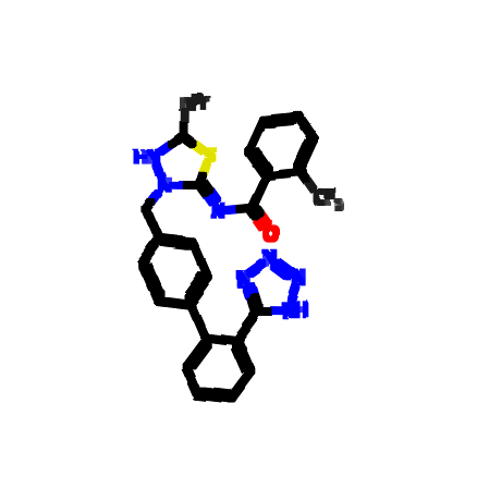 CCCC1NN(Cc2ccc(-c3ccccc3-c3nnn[nH]3)cc2)C(=NC(=O)c2ccccc2C(F)(F)F)S1